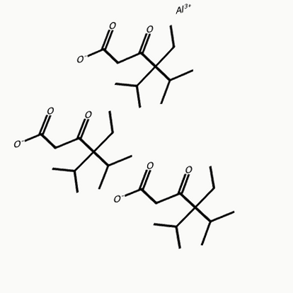 CCC(C(=O)CC(=O)[O-])(C(C)C)C(C)C.CCC(C(=O)CC(=O)[O-])(C(C)C)C(C)C.CCC(C(=O)CC(=O)[O-])(C(C)C)C(C)C.[Al+3]